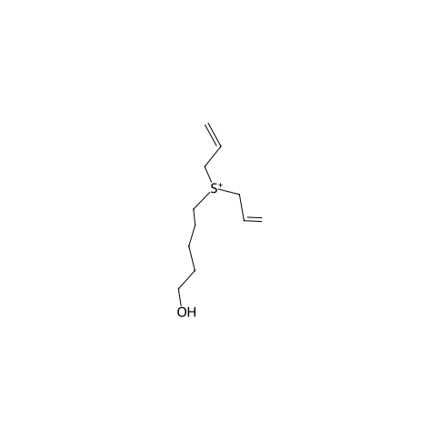 C=CC[S+](CC=C)CCCCCO